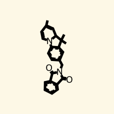 CC1=CC2N(C=C1)c1ccc(CN3C(=O)c4ccccc4C3=O)cc1C2(C)C